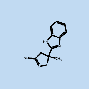 CC(C)(C)C1=NOC(C)(c2nc3ccccc3[nH]2)C1